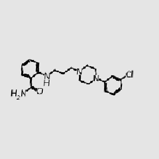 NC(=O)c1ccccc1NCCCN1CCN(c2cccc(Cl)c2)CC1